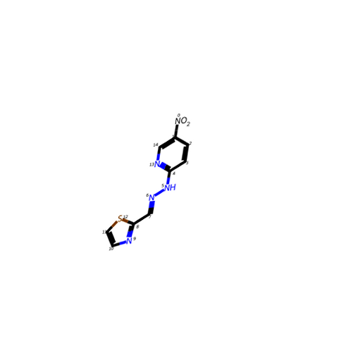 O=[N+]([O-])c1ccc(N/N=C/c2nccs2)nc1